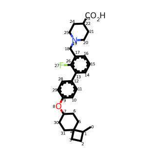 CC1CCC12CCC(Oc1ccc(-c3cccc(CN4CCC(C(=O)O)CC4)c3F)cc1)CC2